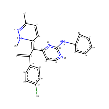 C=C(/C(=C1/C=CC(C)=NN1C)c1ccnc(Nc2ccccc2)n1)c1ccc(F)cc1